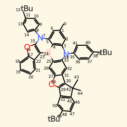 Cc1cc2c3c(c1)N(c1ccc(C(C)(C)C)cc1)c1oc4ccccc4c1B3c1cc3oc4c(c3cc1N2c1ccc(C(C)(C)C)cc1)C(C)(C)c1ccc(C(C)(C)C)cc1-4